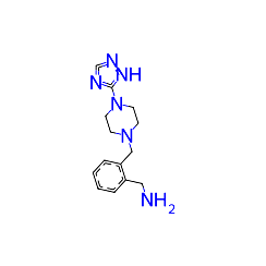 NCc1ccccc1CN1CCN(c2ncn[nH]2)CC1